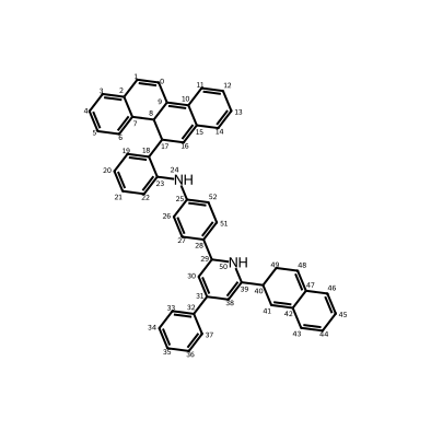 C1=Cc2ccccc2C2C1=c1ccccc1=CC2c1ccccc1Nc1ccc(C2C=C(c3ccccc3)C=C(C3C=c4ccccc4=CC3)N2)cc1